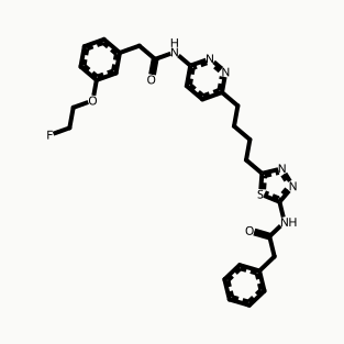 O=C(Cc1cccc(OCCF)c1)Nc1ccc(CCCCc2nnc(NC(=O)Cc3ccccc3)s2)nn1